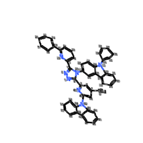 CC(C)(C)c1cc(-c2nnc(-c3cccc(-c4ccccc4)n3)n2-c2ccc3c(c2)c2ccccc2n3-c2ccccc2)nc(-n2c3ccccc3c3ccccc32)c1